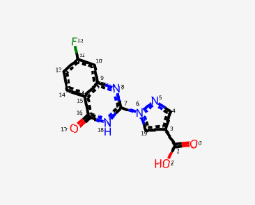 O=C(O)c1cnn(-c2nc3cc(F)ccc3c(=O)[nH]2)c1